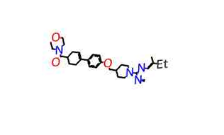 C=N/C(=N\C=C(/C)CC)N1CCC(COc2ccc(C3=CCC(C(=O)N4CCOCC4)CC3)cc2)CC1